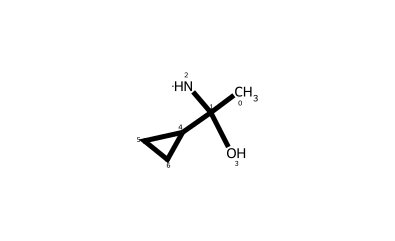 CC([NH])(O)C1CC1